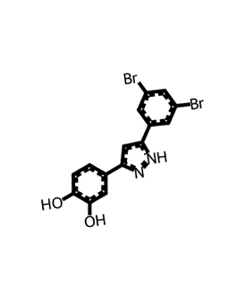 Oc1ccc(-c2cc(-c3cc(Br)cc(Br)c3)[nH]n2)cc1O